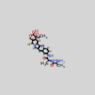 CC[C@@]1(O)C(=O)OCc2c1cc1n(c2=S)Cc2cc3cc(NC(=O)[C@H](C)NC(=O)[C@H](C)N)ccc3nc2-1